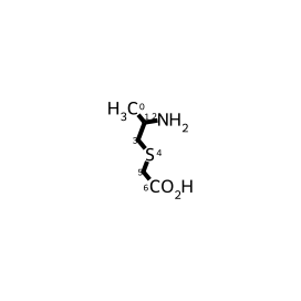 CC(N)CSCC(=O)O